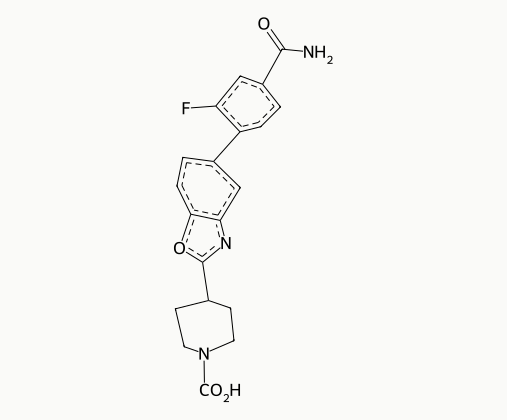 NC(=O)c1ccc(-c2ccc3oc(C4CCN(C(=O)O)CC4)nc3c2)c(F)c1